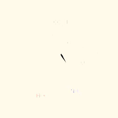 CC1(C)OC[C@H]([C@H](N)CO)O1.O=C(O)c1ccccc1